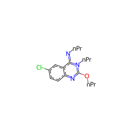 CCC/N=c1/c2cc(Cl)ccc2nc(OCCC)n1CCC